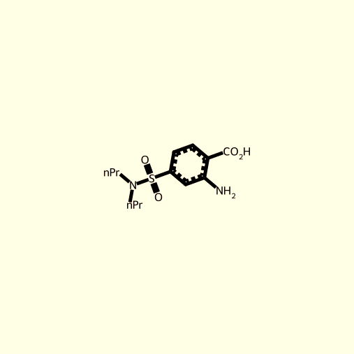 CCCN(CCC)S(=O)(=O)c1ccc(C(=O)O)c(N)c1